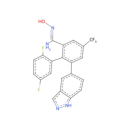 N/C(=N\O)c1cc(C(F)(F)F)cc(-c2ccc3[nH]ncc3c2)c1-c1cc(F)ccc1F